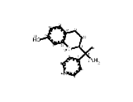 CC(N)(c1ccncc1)C1CCc2ccc(O)cc2O1